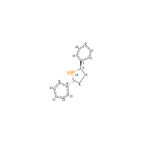 c1ccc([C@H]2CC[C@H](c3ccccc3)P2)cc1